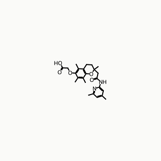 Cc1cc(C)nc(NC(=O)CC2(C)CCc3c(C)c(OCC(=O)O)c(C)c(C)c3O2)c1